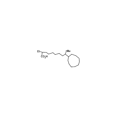 CCCCC(CCCCCCC(CC)C(=O)O)C1CCCCCCCCC1